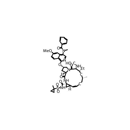 CC[C@@H]1C[C@H](C)CC/C=C\[C@@H]2C[C@@]2(C(=O)NS(=O)(=O)C2(C)CC2)NC(=O)[C@@H]2C[C@@H](Oc3ncc(N(C)C(=O)c4ccccc4)c4cc(OC)ccc34)CN2C(=O)[C@H]1NC(=O)O